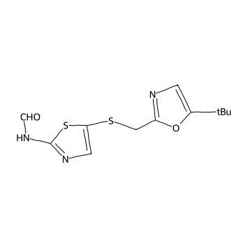 CC(C)(C)c1cnc(CSc2cnc(NC=O)s2)o1